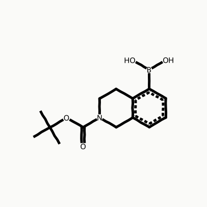 CC(C)(C)OC(=O)N1CCc2c(cccc2B(O)O)C1